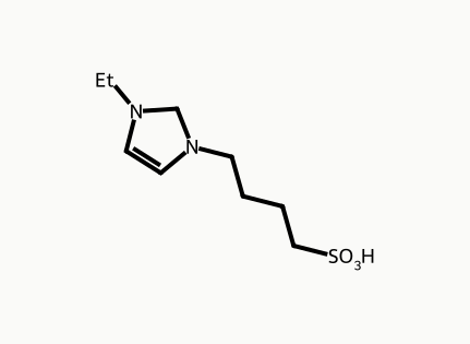 CCN1C=CN(CCCCS(=O)(=O)O)C1